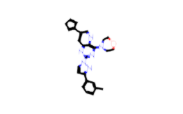 Cc1cccc(-c2ccn(-c3nc(N4CCOCC4)c4ncc(C5=CCC=C5)cc4n3)n2)c1